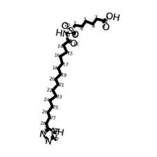 O=C(O)CCCCCS(=O)(=O)NC(=O)CCCCCCCCCCCCCCCc1nnn[nH]1